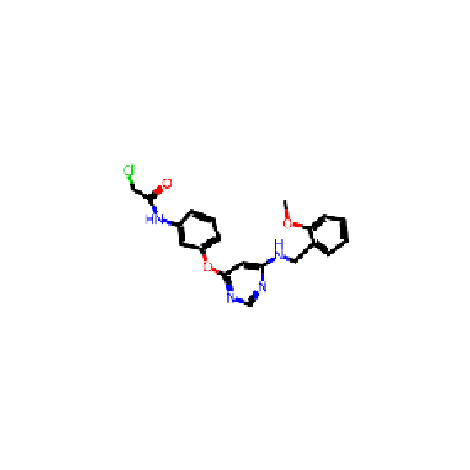 COc1ccccc1CNc1cc(Oc2cccc(NC(=O)CCl)c2)ncn1